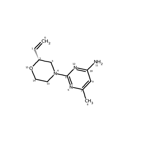 C=C[C@@H]1CN(c2nc(C)cc(N)n2)CCO1